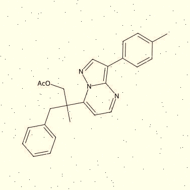 CC(=O)OCC(C)(Cc1ccccc1)c1ccnc2c(-c3ccc(C)cc3)cnn12